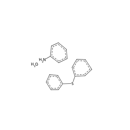 Nc1ccccc1.O.c1ccc(Sc2ccccc2)cc1